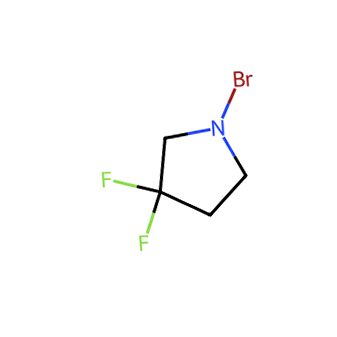 FC1(F)CCN(Br)C1